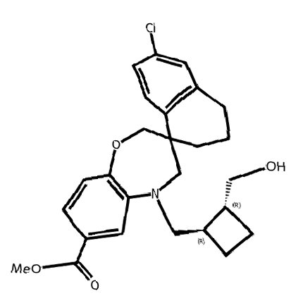 COC(=O)c1ccc2c(c1)N(C[C@@H]1CC[C@H]1CO)CC1(CCCc3cc(Cl)ccc31)CO2